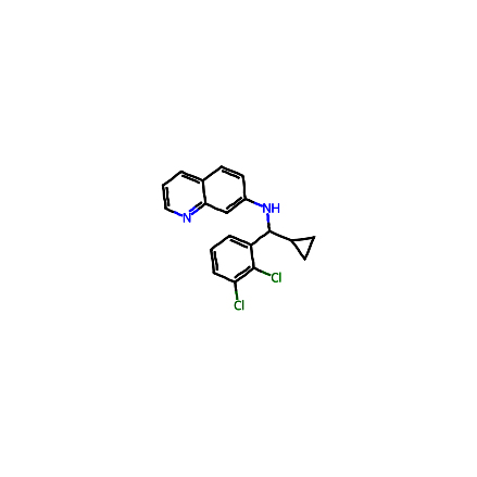 Clc1cccc(C(Nc2ccc3cccnc3c2)C2CC2)c1Cl